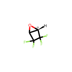 FC1(F)C2O[C@@H]2C1(F)F